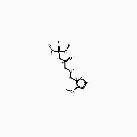 COc1ccsc1COCC(=O)CP(=O)(OC)OC